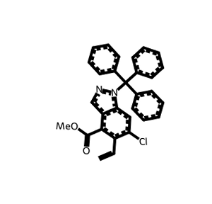 C=Cc1c(Cl)cc2c(cnn2C(c2ccccc2)(c2ccccc2)c2ccccc2)c1C(=O)OC